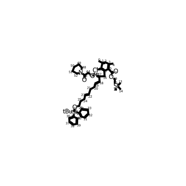 Cc1cc(C)c(C(=O)OCC[Si](C)(C)C)c(CC(/C=C/CC/C=C/CCCO[Si](c2ccccc2)(c2ccccc2)C(C)(C)C)=NOCC(=O)N2CCCCC2)c1Cl